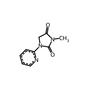 CN1C(=O)CN(c2ccccn2)C1=O